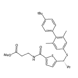 COC(=O)CCNC(=O)c1ccc([C@H](Sc2cc(C)c(-c3ccc(C(C)(C)C)cc3)c(C)c2)C(C)C)s1